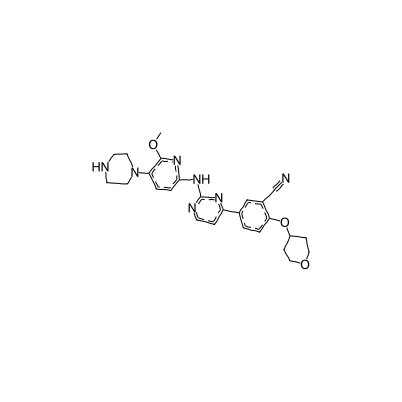 COc1nc(Nc2nccc(-c3ccc(OC4CCOCC4)c(C#N)c3)n2)ccc1N1CCNCC1